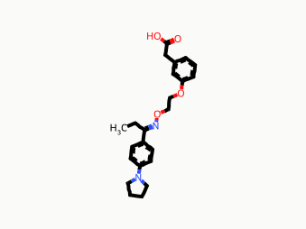 CC/C(=N\OCCOc1cccc(CC(=O)O)c1)c1ccc(N2CCCC2)cc1